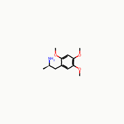 COc1cc(OC)c(OC)cc1C[C@@H](C)N